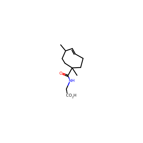 CC1/C=C/CCC(C)(C(=O)NCC(=O)O)CC1